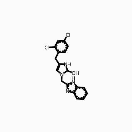 OC1NC(Cc2ccc(Cl)cc2Cl)=CN1Cc1nc2ccccc2[nH]1